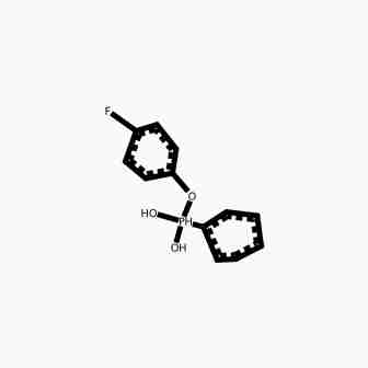 O[PH](O)(Oc1ccc(F)cc1)c1ccccc1